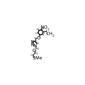 C=Cc1cc(OCc2cn(COCCSC)nn2)ccc1[N+](=O)[O-]